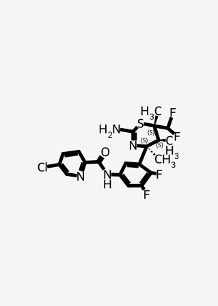 C[C@H]1[C@@](C)(c2cc(NC(=O)c3ccc(Cl)cn3)cc(F)c2F)N=C(N)S[C@]1(C)C(F)F